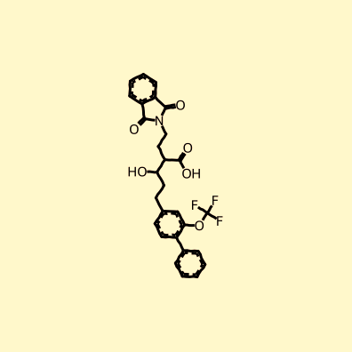 O=C(O)C(CCN1C(=O)c2ccccc2C1=O)C(O)CCc1ccc(-c2ccccc2)c(OC(F)(F)F)c1